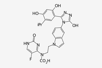 CC(C)c1cc(-c2nnc(O)n2-c2ccc3c(ccn3CCN(C(=O)O)c3nc(=O)[nH]cc3F)c2)c(O)cc1O